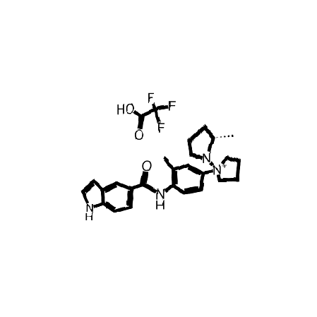 Cc1cc([N+]2(N3CCC[C@@H]3C)CCCC2)ccc1NC(=O)c1ccc2[nH]ccc2c1.O=C(O)C(F)(F)F